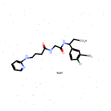 O=C(O)CC(NC(=O)CNC(=O)CCCNc1ccccn1)c1ccc(Cl)c([N+](=O)[O-])c1.[NaH]